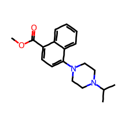 COC(=O)c1ccc(N2CCN(C(C)C)CC2)c2ccccc12